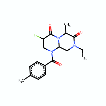 CCC(C)CN1CC2N(C(=O)c3ccc(C(F)(F)F)cc3)CC(F)C(=O)N2C(C)C1=O